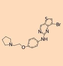 Brc1csc2cnc(Nc3ccc(OCCN4CCCC4)cc3)nc12